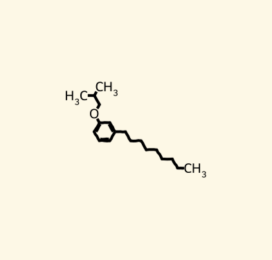 CCCCCCCCCc1cccc(OCC(C)C)c1